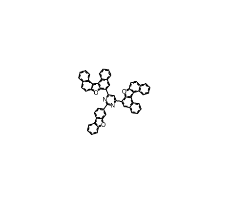 c1ccc2c(c1)ccc1oc3c(-c4cc(-c5cc6ccccc6c6c5oc5ccc7ccccc7c56)nc(-c5ccc6c(c5)oc5ccccc56)n4)cc4ccccc4c3c12